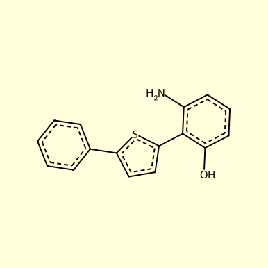 Nc1cccc(O)c1-c1ccc(-c2ccccc2)s1